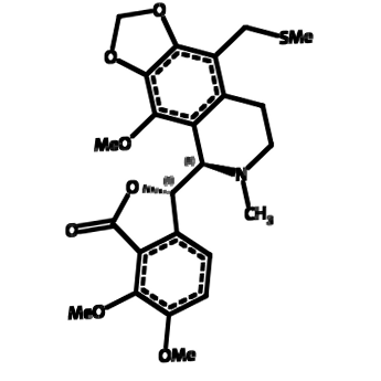 COc1ccc2c(c1OC)C(=O)O[C@@H]2[C@H]1c2c(c(CSC)c3c(c2OC)OCO3)CCN1C